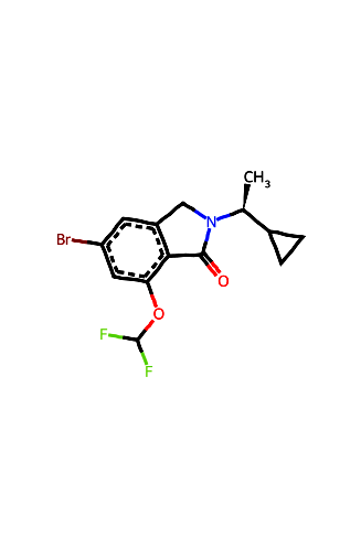 C[C@@H](C1CC1)N1Cc2cc(Br)cc(OC(F)F)c2C1=O